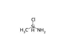 C[SiH](N)Cl